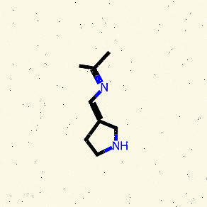 CC(C)=N/C=C1/CCNC1